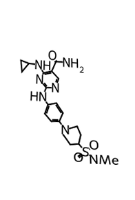 CNS(=O)(=O)C1CCN(c2ccc(Nc3ncc(C(N)=O)c(NC4CC4)n3)cc2)CC1